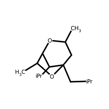 CC(C)CC12CC(C)OC(C(C)O1)C2C(C)C